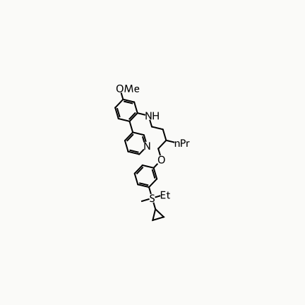 CCCC(CCNc1cc(OC)ccc1-c1cccnc1)COc1cccc(S(C)(CC)C2CC2)c1